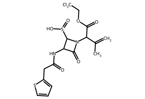 C=C(C)C(C(=O)OCC(Cl)(Cl)Cl)N1C(=O)C(NC(=O)Cc2cccs2)C1S(=O)O